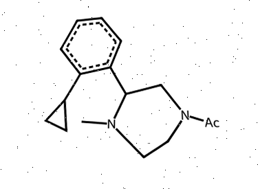 CC(=O)N1CCN(C)C(c2ccccc2C2CC2)C1